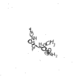 COc1cc(S(N)(=O)=O)ccc1NCC#Cc1sc2c(NC3CCN(C4CC4)CC3)cccc2c1CC(F)F